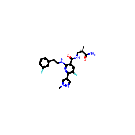 C[C@H](CNC(=O)c1cc(F)c(-c2cnn(C)c2)nc1NCCc1cccc(F)c1)C(N)=O